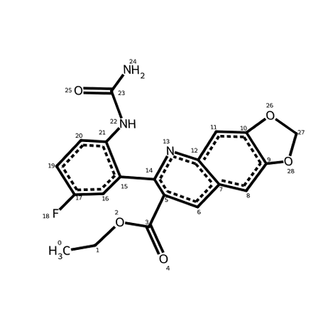 CCOC(=O)c1cc2cc3c(cc2nc1-c1cc(F)ccc1NC(N)=O)OCO3